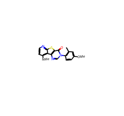 CNc1ccnc2sc3c(=O)n(-c4ccc(OC)cc4C)cnc3c12